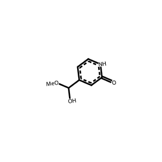 COC(O)c1cc[nH]c(=O)c1